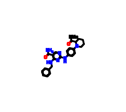 CNC(=O)C1CCCCN1c1ccc(Nc2ncc(C(N)=O)c(NCc3ccccc3)n2)cc1